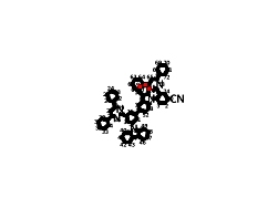 N#Cc1ccc(-n2c3ccccc3c3cc(-c4cc(-c5nc(-c6ccccc6)cc(-c6ccccc6)n5)cc(-n5c6ccccc6c6ccccc65)c4)ccc32)c(-c2nc(-c3ccccc3)cc(-c3ccccc3)n2)c1